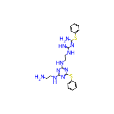 N=C(/N=C(\N)Sc1ccccc1)NCCNc1nc(NCCN)nc(Sc2ccccc2)n1